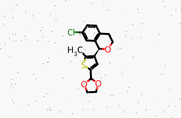 Cc1sc(C2OCCO2)cc1[C@@H]1OCCc2ccc(Cl)cc21